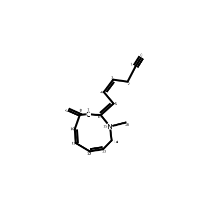 C#CC/C=C\C=C1/CC(=C)/C=C\C=C/CN1C